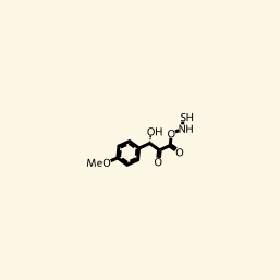 COc1ccc([C@H](O)C(=O)C(=O)ONS)cc1